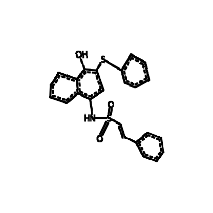 O=S(=O)(/C=C/c1ccccc1)Nc1cc(Sc2ccccc2)c(O)c2ccccc12